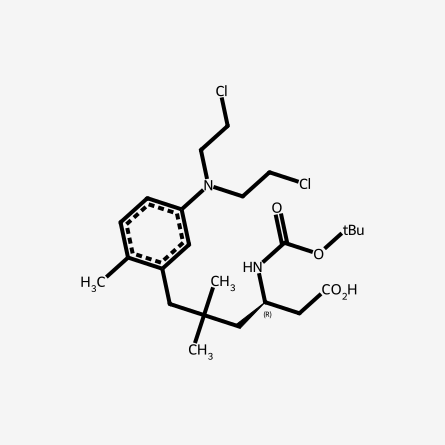 Cc1ccc(N(CCCl)CCCl)cc1CC(C)(C)C[C@H](CC(=O)O)NC(=O)OC(C)(C)C